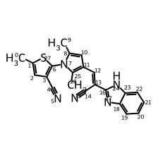 Cc1cc(C#N)c(-n2c(C)cc(C=C(C#N)c3nc4ccccc4[nH]3)c2C)s1